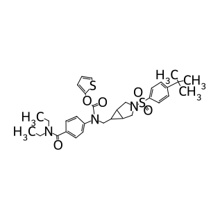 CCN(CC)C(=O)c1ccc(N(CC2C3CN(S(=O)(=O)c4ccc(C(C)(C)C)cc4)CC23)C(=O)Oc2cccs2)cc1